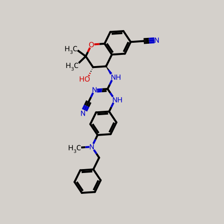 CN(Cc1ccccc1)c1ccc(NC(=NC#N)N[C@@H]2c3cc(C#N)ccc3OC(C)(C)[C@H]2O)cc1